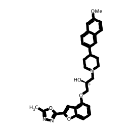 COc1ccc2cc(C3CCN(C[C@H](O)COc4cccc5oc(-c6nnc(C)o6)cc45)CC3)ccc2c1